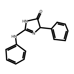 O=C1NC(Nc2ccccc2)=NC1c1ccccc1